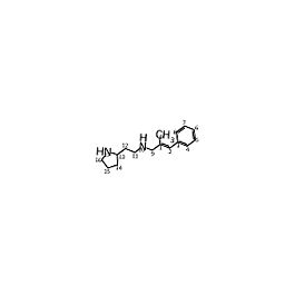 C/C(=C\c1ccccc1)CNCCC1CCCN1